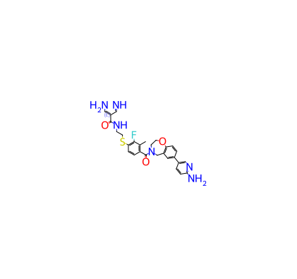 Cc1c(C(=O)N2CCOc3ccc(-c4ccc(N)nc4)cc3C2)ccc(SCCNC(=O)/C(C=N)=C/N)c1F